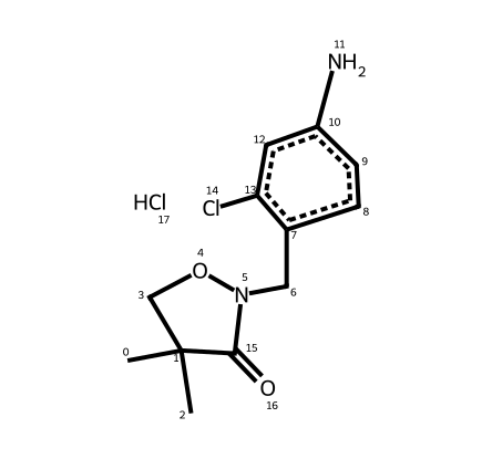 CC1(C)CON(Cc2ccc(N)cc2Cl)C1=O.Cl